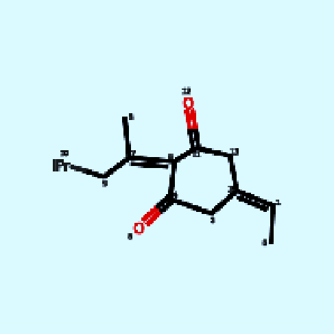 CC=C1CC(=O)C(=C(C)CC(C)C)C(=O)C1